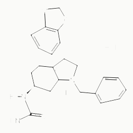 CCN(C(N)=S)[C@H]1CC[C@@]2(c3ccc4c(c3)OCO4)CCN(Cc3ccccc3)[C@H]2C1.Cl